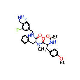 CCOc1ccc(CC(NC(=O)CC)C(=O)N(C)C(Cc2ccccc2)C(=O)NCc2ccc(CN)c(F)c2)cc1